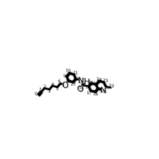 C#CCCCCCOc1cccc(NC(=O)c2ccc3nc(C)ccc3c2)c1